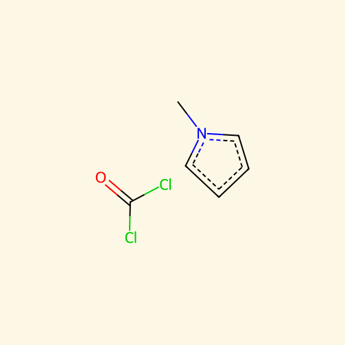 Cn1cccc1.O=C(Cl)Cl